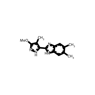 COc1n[nH]c(-c2nc3cc(C)c(C)cc3[nH]2)c1C